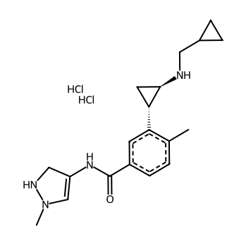 Cc1ccc(C(=O)NC2=CN(C)NC2)cc1[C@@H]1C[C@H]1NCC1CC1.Cl.Cl